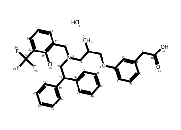 CC(COc1cccc(CC(=O)O)c1)CN(Cc1cccc(C(F)(F)F)c1Cl)CC(c1ccccc1)c1ccccc1.Cl